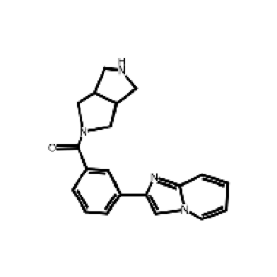 O=C(c1cccc(-c2cn3ccccc3n2)c1)N1CC2CNCC2C1